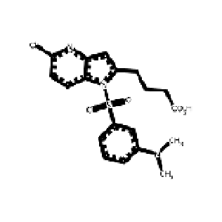 CN(C)c1cccc(S(=O)(=O)n2c(CCCC(=O)O)cc3nc(Cl)ccc32)c1